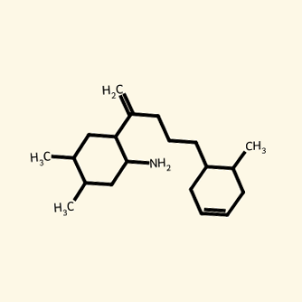 C=C(CCCC1CC=CCC1C)C1CC(C)C(C)CC1N